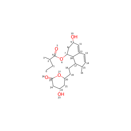 CCC(C)C(=O)OC1CC(O)C=C2C=CC(C)C(CCC3C[C@H](O)CC(=O)O3)C21